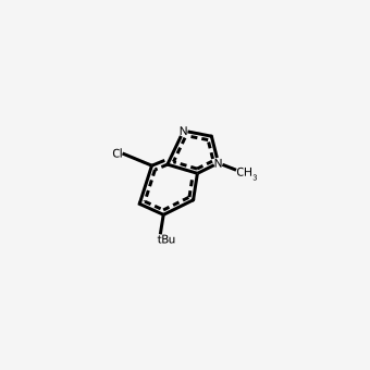 Cn1cnc2c(Cl)cc(C(C)(C)C)cc21